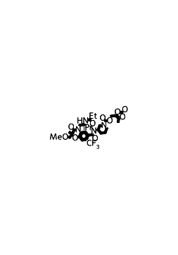 CCC(=O)NCCN1C(=O)C(C)(COC)Oc2cc(C(F)(F)F)c(C(=O)N(C(C)C)[C@@H]3CCCN(C(=O)OCc4oc(=O)oc4C)C3)cc21